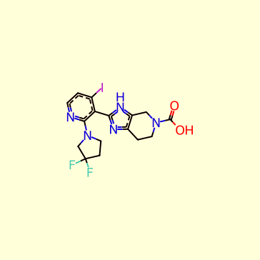 O=C(O)N1CCc2nc(-c3c(I)ccnc3N3CCC(F)(F)C3)[nH]c2C1